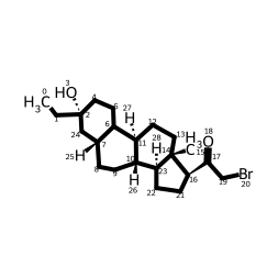 CC[C@@]1(O)CCC2[C@H](CC[C@@H]3[C@@H]2CC[C@]2(C)[C@@H](C(=O)CBr)CC[C@@H]32)C1